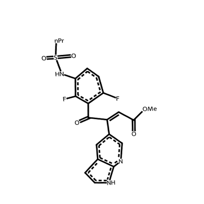 CCCS(=O)(=O)Nc1ccc(F)c(C(=O)C(=CC(=O)OC)c2cnc3[nH]ccc3c2)c1F